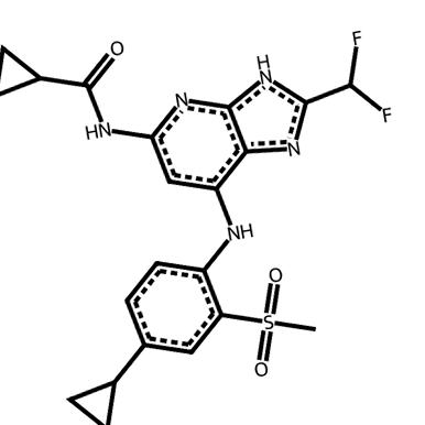 CS(=O)(=O)c1cc(C2CC2)ccc1Nc1cc(NC(=O)C2CC2)nc2[nH]c(C(F)F)nc12